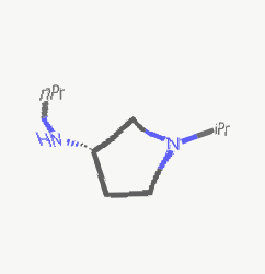 CCCN[C@H]1CCN(C(C)C)C1